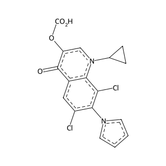 O=C(O)Oc1cn(C2CC2)c2c(Cl)c(-n3cccc3)c(Cl)cc2c1=O